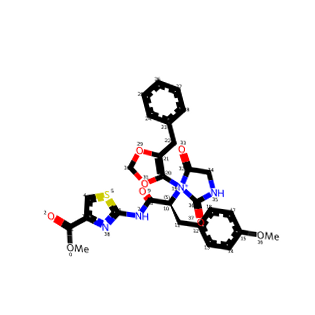 COC(=O)c1csc(NC(=O)[C@H](Cc2ccc(OC)cc2)[N+]2(C3=C(Cc4ccccc4)OCO3)C(=O)CNC2=O)n1